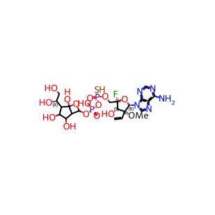 C=C[C@]1(OC)[C@H](n2cnc3c(N)ncnc32)O[C@](F)(COP(=O)(S)OP(=O)(O)OC2OC3(O)C2C(O)C(O)C3[C@@H](O)CO)[C@H]1O